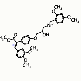 COC(=O)/C(=C/c1ccc(OC)c(OC)c1)c1ccc(OCC(O)CNCc2ccc(OC)cc2OC)cc1